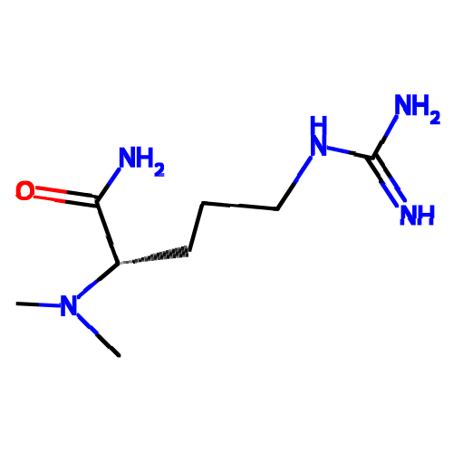 CN(C)[C@@H](CCCNC(=N)N)C(N)=O